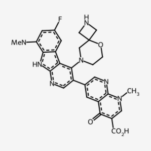 CNc1cc(F)cc2c1[nH]c1ncc(-c3cnc4c(c3)c(=O)c(C(=O)O)cn4C)c(N3CCOC4(CNC4)C3)c12